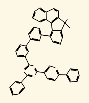 CC1(C)c2cccc(-c3cccc(-c4cccc(-c5nc(-c6ccccc6)nc(-c6ccc(-c7ccccc7)nc6)n5)c4)c3)c2-c2c1ccc1ccccc21